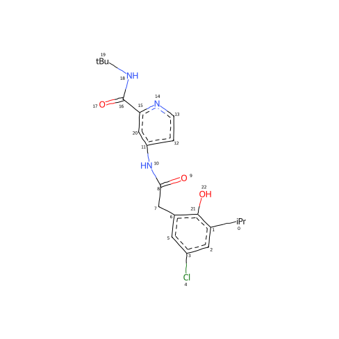 CC(C)c1cc(Cl)cc(CC(=O)Nc2ccnc(C(=O)NC(C)(C)C)c2)c1O